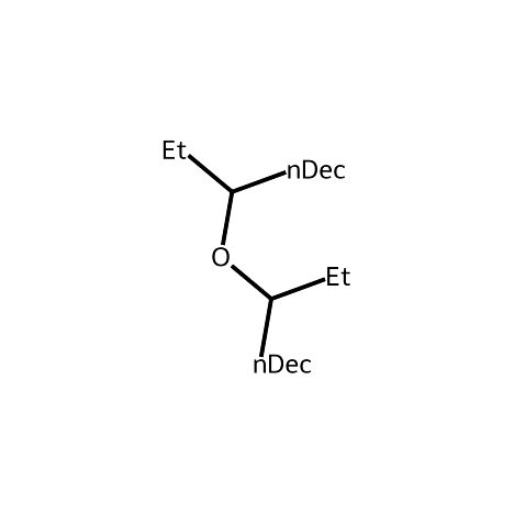 CCCCCCCCCCC(CC)OC(CC)CCCCCCCCCC